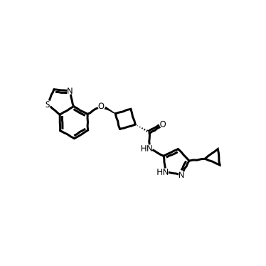 O=C(Nc1cc(C2CC2)n[nH]1)[C@H]1C[C@H](Oc2cccc3scnc23)C1